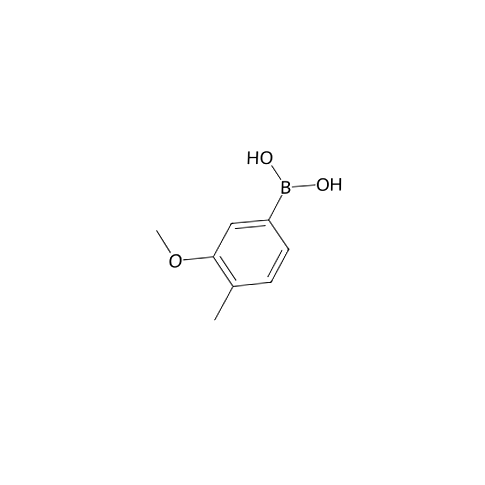 COc1cc(B(O)O)ccc1C